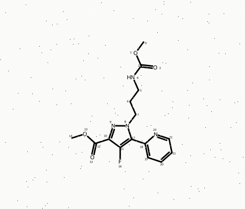 COC(=O)NCCCn1nc(C(=O)OC)c(F)c1-c1ccccn1